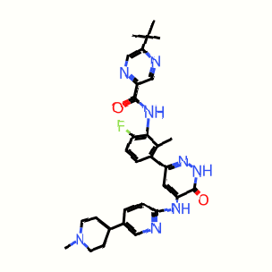 Cc1c(-c2cc(Nc3ccc(C4CCN(C)CC4)cn3)c(=O)[nH]n2)ccc(F)c1NC(=O)c1cnc(C(C)(C)C)cn1